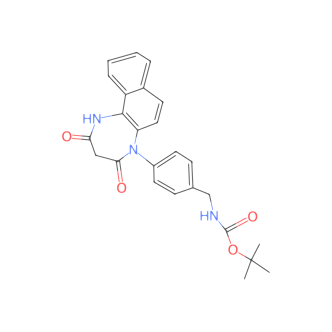 CC(C)(C)OC(=O)NCc1ccc(N2C(=O)CC(=O)Nc3c2ccc2ccccc32)cc1